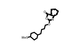 CSC1CCC(CCCCOc2nc3ccccc3c(=O)o2)CC1